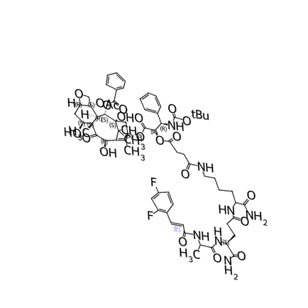 CC(=O)O[C@@]12CO[C@@H]1C[C@H](O)[C@@]1(C)C(=O)[C@H](O)C3=C(C)[C@@H](OC(=O)[C@H](OC(=O)CCC(=O)NCCCCC(NC(=O)CC[C@H](NC(=O)C(C)NC(=O)/C=C/c4ccc(F)cc4F)C(N)=O)C(N)=O)[C@H](NC(=O)OC(C)(C)C)c4ccccc4)C[C@@](O)([C@@H](OC(=O)c4ccccc4)[C@H]21)C3(C)C